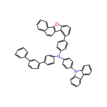 c1ccc(-c2cccc(-c3ccc(N(c4ccc(-c5cccc6oc7c8ccccc8ccc7c56)cc4)c4ccc(-n5c6ccccc6c6ccccc65)cc4)cc3)c2)cc1